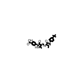 CC1=NN(c2ccc(C(C)(C)C)cc2)C(=O)C1N=Nc1c(C)[nH]n(-c2ccc(C(=O)O)cc2)c1=O